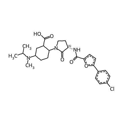 CC(C)N(C)C1CCC(N2CC[C@H](NC(=O)c3ccc(-c4ccc(Cl)cc4)o3)C2=O)C(C(=O)O)C1